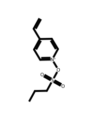 C=Cc1cc[n+](OS(=O)(=O)CCC)cc1